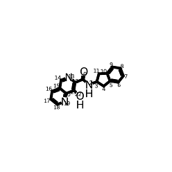 O=C(NC1Cc2ccccc2C1)c1ncc2cccnc2c1O